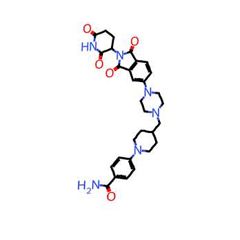 NC(=O)c1ccc(N2CCC(CN3CCN(c4ccc5c(c4)C(=O)N(C4CCC(=O)NC4=O)C5=O)CC3)CC2)cc1